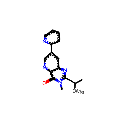 COC(C)c1nc2cc(-c3ccccn3)cnc2c(=O)n1C